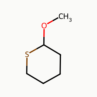 COC1CCCCS1